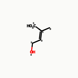 C/C(=C/CO)C(=O)O